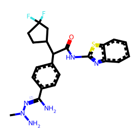 CN(N)/N=C(\N)c1ccc(C(C(=O)Nc2nc3ccccc3s2)C2CCC(F)(F)C2)cc1